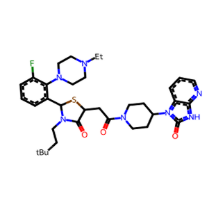 CCN1CCN(c2c(F)cccc2C2SC(CC(=O)N3CCC(n4c(=O)[nH]c5ncccc54)CC3)C(=O)N2CCC(C)(C)C)CC1